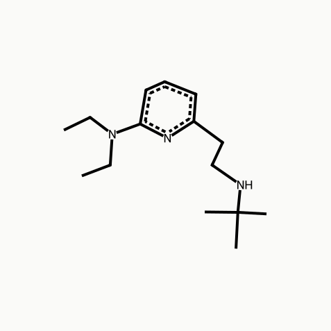 CCN(CC)c1cccc(CCNC(C)(C)C)n1